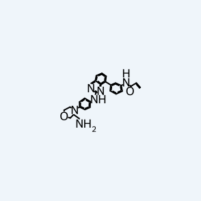 C=CC(=O)Nc1cccc(-c2cccc3cnc(Nc4ccc(N5CCOCC5CN)cc4)nc23)c1